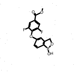 COC(=O)c1cc(F)c(Oc2ccc3c(c2)COB3O)c(F)c1